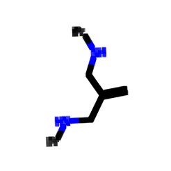 C=C(CNC(C)C)CNC(C)C